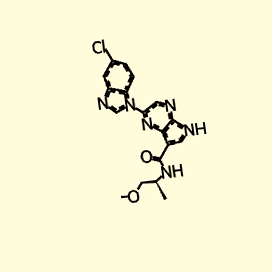 COC[C@H](C)NC(=O)c1c[nH]c2ncc(-n3cnc4cc(Cl)ccc43)nc12